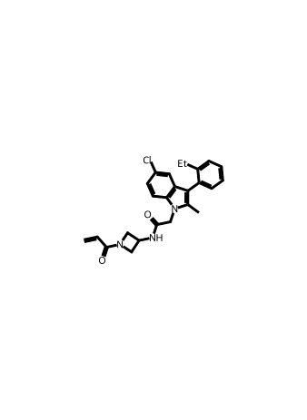 C=CC(=O)N1CC(NC(=O)Cn2c(C)c(-c3ccccc3CC)c3cc(Cl)ccc32)C1